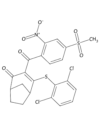 CS(=O)(=O)c1ccc(C(=O)C2=C(Sc3c(Cl)cccc3Cl)C3CCC(C3)C2=O)c([N+](=O)[O-])c1